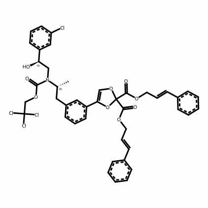 C[C@H](Cc1cccc(C2=COC(C(=O)OCC=Cc3ccccc3)(C(=O)OCC=Cc3ccccc3)O2)c1)N(C[C@@H](O)c1cccc(Cl)c1)C(=O)OCC(Cl)(Cl)Cl